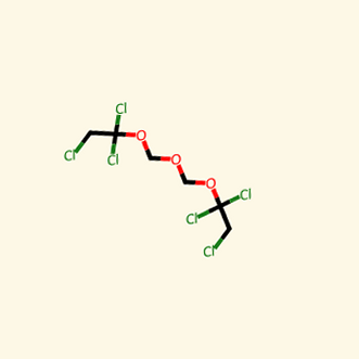 ClCC(Cl)(Cl)OCOCOC(Cl)(Cl)CCl